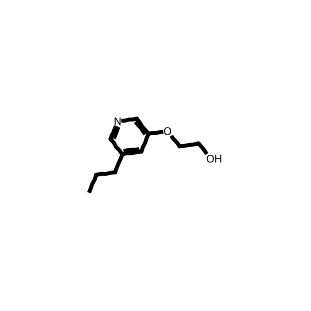 CCCc1cncc(OCCO)c1